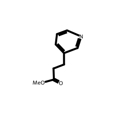 COC(=O)CCc1cccnc1